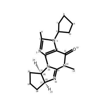 Cc1nc2c(n1C1CCCC1)C(=O)N(C)C1=N[C@H]3CCC[C@H]3N12